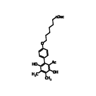 CCCCCCCCCCCCCCCCOc1ccc(-c2c(O)c(C)c(C)c(O)c2C(C)=O)cc1